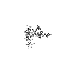 CCC(C)(O[Si](C)(C)C(CC)(CC)C(C)(C)O[Si](C)(CCCN(CCNC(=O)CCC(=O)O)C(=O)CCC(=O)O)C(C)(CC)O[Si](C)(C)C)[Si](C)(C)C